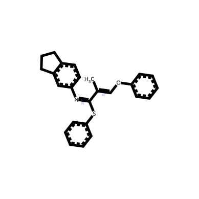 CC(=C\Oc1ccccc1)/C(=N\c1ccc2c(c1)CCC2)Sc1ccccc1